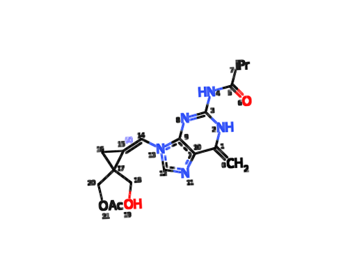 C=C1NC(NC(=O)C(C)C)=Nc2c1ncn2/C=C1/CC1(CO)COC(C)=O